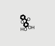 O=c1c2ccccc2oc2cc(O)c(O)cc12